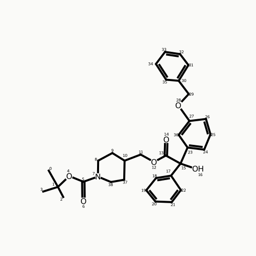 CC(C)(C)OC(=O)N1CCC(COC(=O)C(O)(c2ccccc2)c2cccc(OCc3ccccc3)c2)CC1